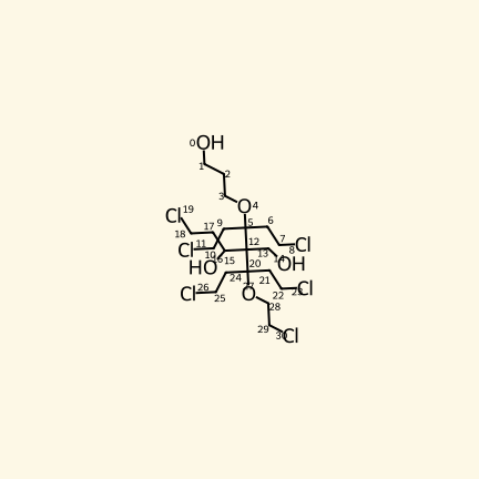 OCCCOC(CCCl)(CCCl)C(CO)(C(O)CCCl)C(CCCl)(CCCl)OCCCl